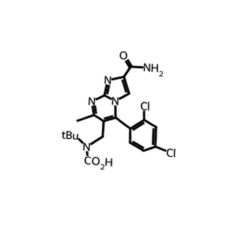 Cc1nc2nc(C(N)=O)cn2c(-c2ccc(Cl)cc2Cl)c1CN(C(=O)O)C(C)(C)C